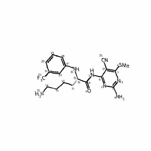 CSc1nc(N)nc(NC(=O)[C@H](CCCCN)Nc2cccc(C(F)(F)F)c2)c1C#N